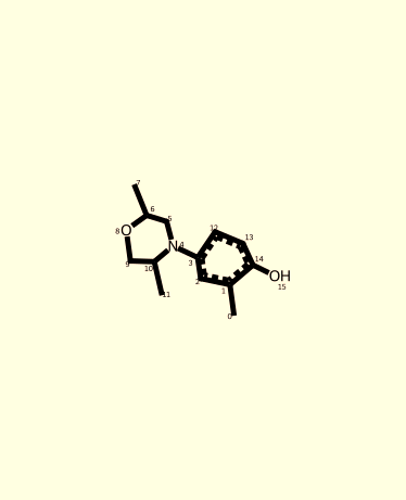 Cc1cc(N2CC(C)OCC2C)ccc1O